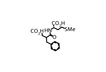 CSCC[C@@H](NC(=O)C(CC(=O)O)Cc1ccccc1)C(=O)O